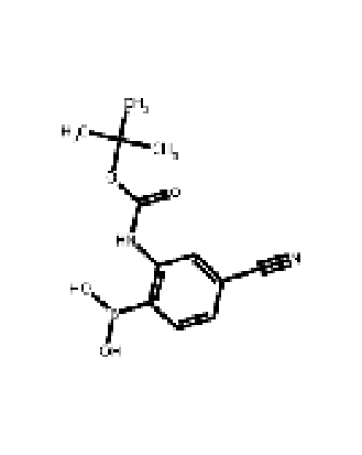 CC(C)(C)OC(=O)Nc1cc(C#N)ccc1B(O)O